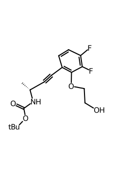 C[C@H](C#Cc1ccc(F)c(F)c1OCCO)NC(=O)OC(C)(C)C